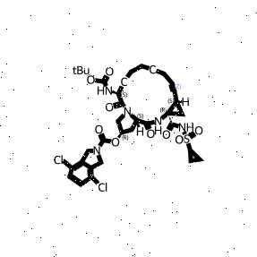 CC(C)(C)OC(=O)N[C@H]1CCCCC/C=C\[C@@H]2C[C@@]2(C(=O)NS(=O)(=O)C2CC2)NC(=O)[C@@H]2C[C@@H](OC(=O)N3Cc4c(Cl)ccc(Cl)c4C3)CN2C1=O